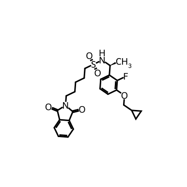 C[C@H](NS(=O)(=O)CCCCCN1C(=O)c2ccccc2C1=O)c1cccc(OCC2CC2)c1F